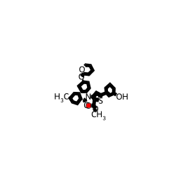 COC(=O)c1sc(C2=CC(O)CCC2)cc1N(C(=O)[C@H]1CC[C@H](C)CC1)[C@H]1CC[C@H](OC2CCCCO2)CC1